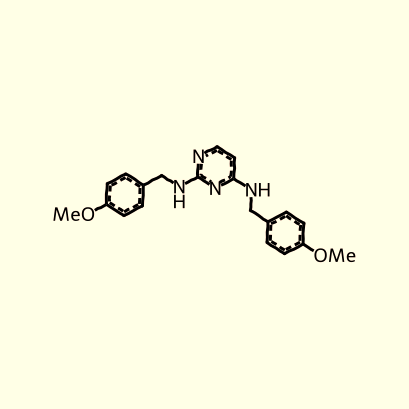 COc1ccc(CNc2ccnc(NCc3ccc(OC)cc3)n2)cc1